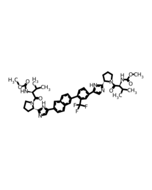 COC(=O)N[C@H](C(=O)N1CCC[C@H]1c1ncc(-c2ccc(-c3ccc4cc(-c5cnc([C@@H]6CCCN6C(=O)[C@@H](NC(=O)OC)C(C)C)[nH]5)ccc4c3)c(C(F)(F)F)c2)[nH]1)C(C)C